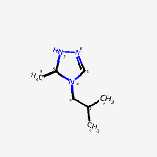 CC(C)CN1C=NNC1C